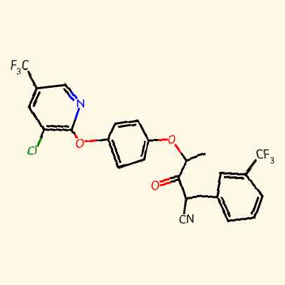 CC(Oc1ccc(Oc2ncc(C(F)(F)F)cc2Cl)cc1)C(=O)C(C#N)c1cccc(C(F)(F)F)c1